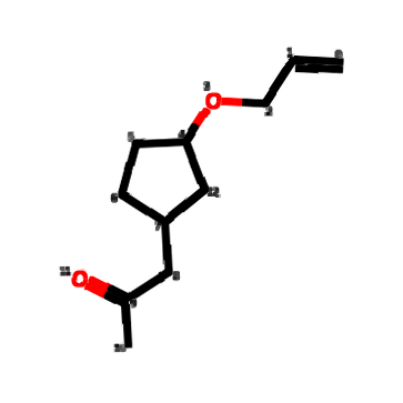 C=CCOC1CCC(CC(C)=O)C1